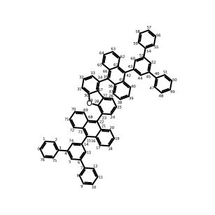 c1ccc(-c2cc(-c3ccccc3)cc(-c3c4ccccc4c(-c4cccc5c4oc4cccc(-c6c7ccccc7c(-c7cc(-c8ccccc8)cc(-c8ccccc8)c7)c7ccccc67)c45)c4ccccc34)c2)cc1